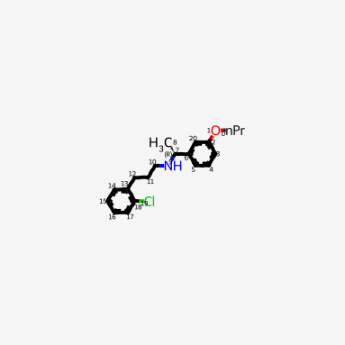 CCCOc1cccc([C@@H](C)NCCCc2ccccc2Cl)c1